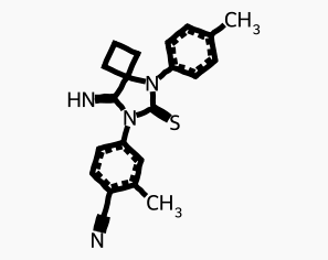 Cc1ccc(N2C(=S)N(c3ccc(C#N)c(C)c3)C(=N)C23CCC3)cc1